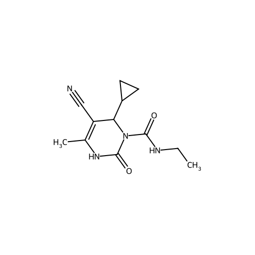 CCNC(=O)N1C(=O)NC(C)=C(C#N)C1C1CC1